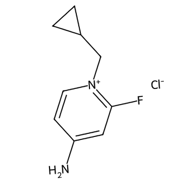 Nc1cc[n+](CC2CC2)c(F)c1.[Cl-]